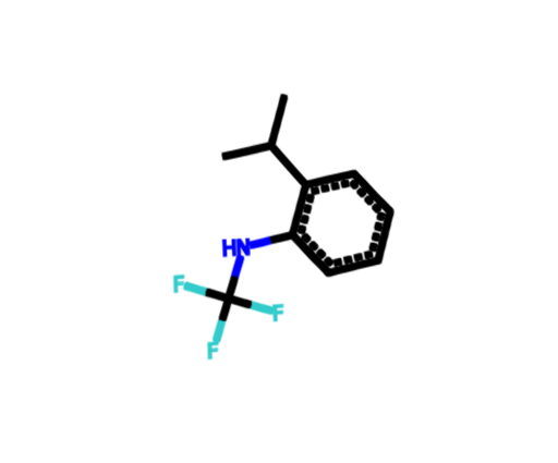 CC(C)c1ccccc1NC(F)(F)F